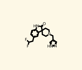 O=C1Nc2ccc(CC(F)F)cc2C12CCN(Cc1cn[nH]c1)CC2